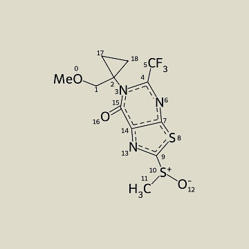 COCC1(n2c(C(F)(F)F)nc3sc([S+](C)[O-])nc3c2=O)CC1